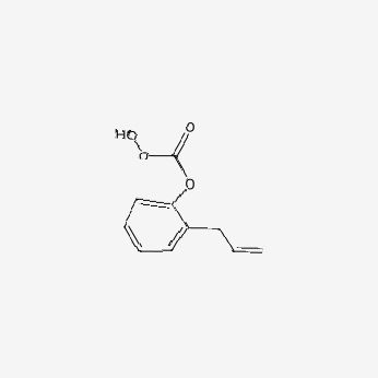 C=CCc1ccccc1OC(=O)OO